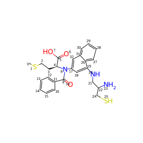 CSCC[C@@H](C(=O)O)N(C(=O)c1ccccc1)c1cc(NCC(N)CS)c2ccccc2c1